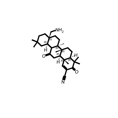 CC1(C)CC[C@]2(CN)CC[C@]3(C)C(C(=O)C[C@@H]4[C@@]5(C)C=C(C#N)C(=O)C(C)(C)[C@@H]5CC[C@]43C)[C@H]2C1